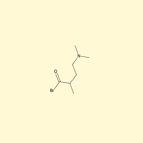 CC(CCN(C)C)C(=O)Br